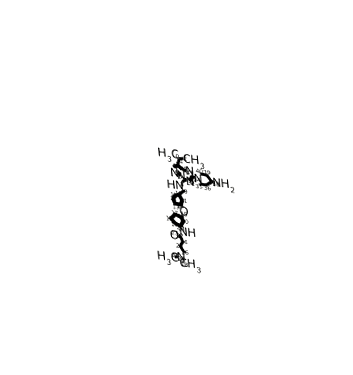 CC(C)c1cnn2c(NCc3cccc(Oc4cccc(NC(=O)CCCN(C)C)c4)c3)nc(N3CCC(N)CC3)nc12